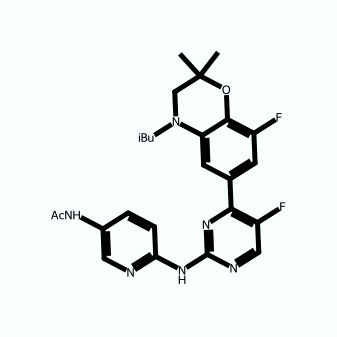 CCC(C)N1CC(C)(C)Oc2c(F)cc(-c3nc(Nc4ccc(NC(C)=O)cn4)ncc3F)cc21